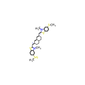 CSc1ccc2c(c1)N(C)/C(=C/C1=CC3=C/C(=C/c4sc5ccc(S(C)=S)cc5[n+]4C)CCC3CC1)S2